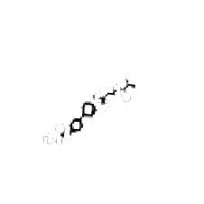 C=C(C)C(=O)OCCC(=O)Oc1ccc(-c2ccc(OC(=O)C(C)(C)C)cc2)cc1